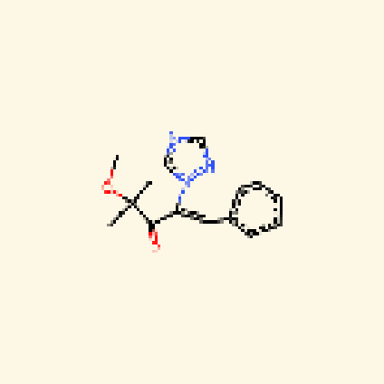 COC(C)(C)C(=O)C(=Cc1ccccc1)n1cncn1